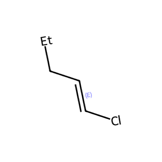 [CH2]CC/C=C/Cl